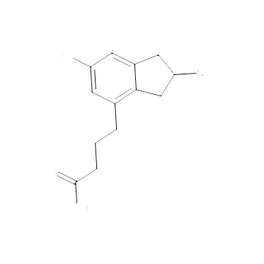 NC1Cc2cc(O)cc(CCCC(=O)O)c2C1